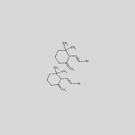 C=C1CCCC(C)(C)C1/C=C/C(C)=O.C=C1CCCC(C)(C)C1/C=C/C(C)=O